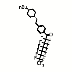 CCCC[C@H]1CC[C@H](CCc2ccc(C(=O)C(F)(F)C(F)(F)C(F)(F)C(F)(F)C(F)(F)C(F)(F)C(F)(F)F)cc2)CC1